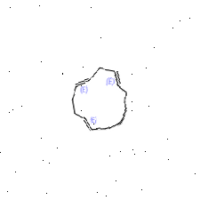 C1=C/CC/C=C/CCCC/C=C/C/1